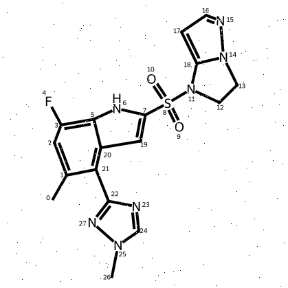 Cc1cc(F)c2[nH]c(S(=O)(=O)N3CCn4nccc43)cc2c1-c1ncn(C)n1